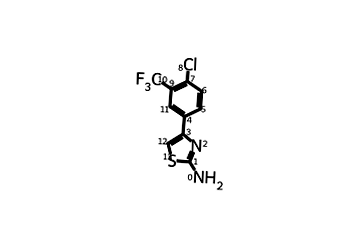 Nc1nc(-c2ccc(Cl)c(C(F)(F)F)c2)cs1